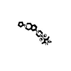 Cc1nn(C)c(C)c1S(=O)(=O)N1CCN(c2ccc3c(c2)CCN(C2CCCC2)CC3)CC1